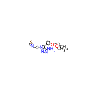 CC1(C)CCC(COc2cccc(-c3cn(C4CC(CN5CCSC5)C4)c4ncnc(N)c34)c2)O1